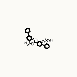 CP(=O)(O)c1ccccc1-c1ccc(C(=O)Nc2cc(-c3ccccc3)ccc2N)cc1